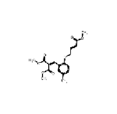 COC(=O)/C=C/COc1ccc(C)cc1C=C(C(=O)OC)C(=O)OC